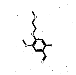 COCCOc1cc(F)c(C=O)cc1OC